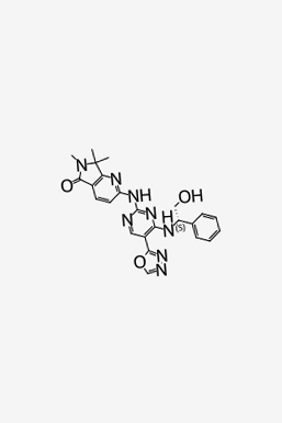 CN1C(=O)c2ccc(Nc3ncc(-c4nnco4)c(N[C@H](CO)c4ccccc4)n3)nc2C1(C)C